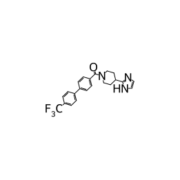 O=C(c1ccc(-c2ccc(C(F)(F)F)cc2)cc1)N1CCC(c2ncc[nH]2)CC1